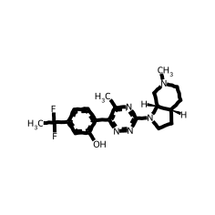 Cc1nc(N2CC[C@H]3CCN(C)C[C@H]32)nnc1-c1ccc(C(C)(F)F)cc1O